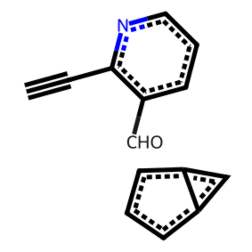 C#Cc1ncccc1C=O.c1cc2cc-2c1